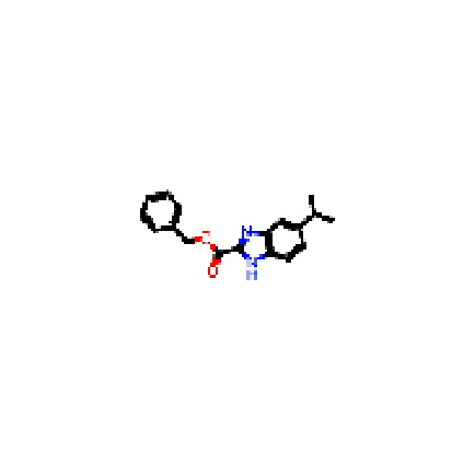 CC(C)c1ccc2[nH]c(C(=O)OCc3ccccc3)nc2c1